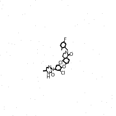 C=C1C=NN(c2cc(Cl)c(Oc3ccc4c(c3)CCN(Cc3cc(F)ccc3C)C4=O)c(Cl)c2)C(=O)N1